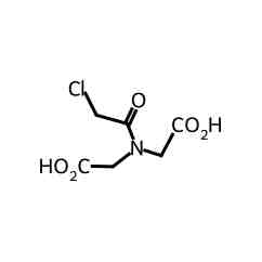 O=C(O)CN(CC(=O)O)C(=O)CCl